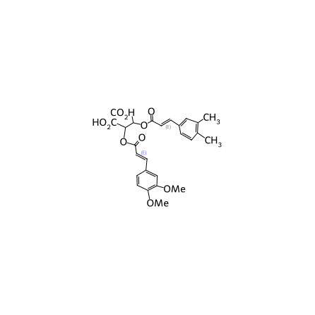 COc1ccc(/C=C/C(=O)OC(C(=O)O)C(OC(=O)/C=C/c2ccc(C)c(C)c2)C(=O)O)cc1OC